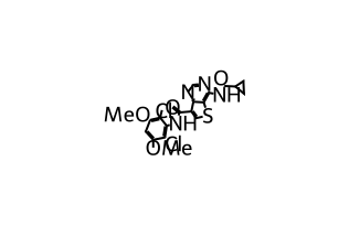 COc1cc(OC)c(Cl)c(NC(=O)c2csc3c(NC(=O)C4CC4)ncnc23)c1Cl